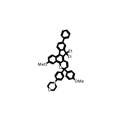 CCC1(CC)c2cc(-c3ccccc3)ccc2-c2c1c1c(c3cc(OC)ccc23)OC(c2ccc(OC)cc2)(c2ccc(N3CCOCC3)cc2)C=C1